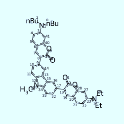 CCCCN(CCCC)c1ccc2cc(-c3ccc4c(c3)c3cc(-c5cc6ccc(N(CC)CC)cc6oc5=O)ccc3n4C)c(=O)oc2c1